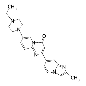 CCN1CCN(c2ccc3nc(-c4ccn5cc(C)nc5c4)cc(=O)n3c2)CC1